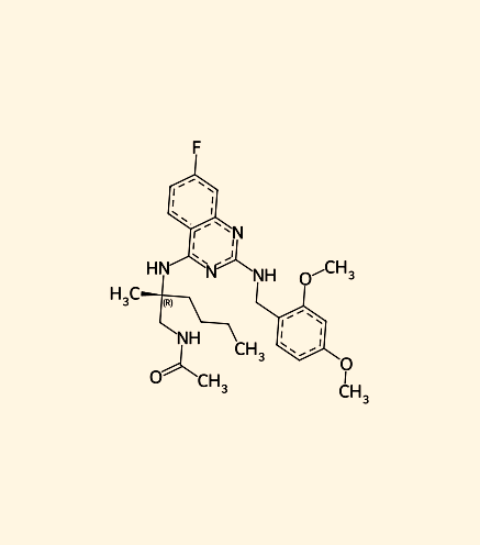 CCCC[C@](C)(CNC(C)=O)Nc1nc(NCc2ccc(OC)cc2OC)nc2cc(F)ccc12